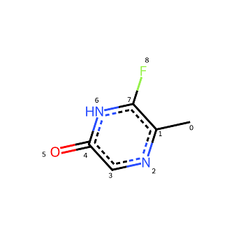 Cc1ncc(=O)[nH]c1F